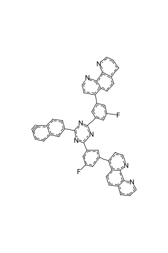 Fc1cc(-c2nc(-c3cc(F)cc(-c4ccnc5c4ccc4cccnc45)c3)nc(-c3ccc4c#cccc4c3)n2)cc(-c2ccnc3c2ccc2cccnc23)c1